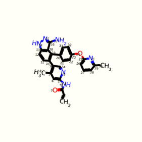 C=CC(=O)Nc1cc(C)c(-c2ccc3[nH]nc(N)c3c2-c2ccc(Oc3cccc(C)n3)cc2)cn1